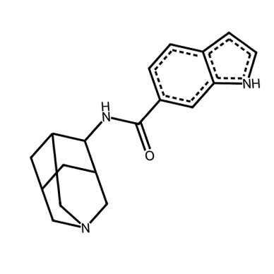 O=C(NC1C2CC3CC1CN(C3)C2)c1ccc2cc[nH]c2c1